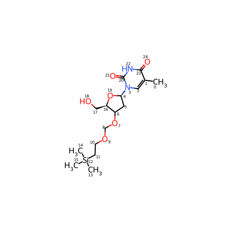 Cc1cn([C@H]2CC(OCOCC[Si](C)(C)C)[C@@H](CO)O2)c(=O)[nH]c1=O